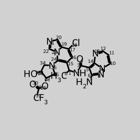 CC(NC(=O)c1c(N)nn2cccnc12)c1cc(Cl)c2cncn2c1N1C[C@H](OC(=O)C(F)(F)F)[C@@H](O)C1